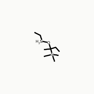 CC[SiH2]OC(C)(CC)[Si](C)(C)C